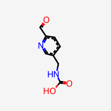 O=Cc1ccc(CNC(=O)O)cn1